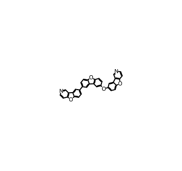 c1cc2oc3ccc(Oc4ccc5oc6ccc(-c7ccc8oc9ccncc9c8c7)cc6c5c4)cc3c2cn1